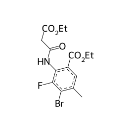 CCOC(=O)CC(=O)Nc1c(C(=O)OCC)cc(C)c(Br)c1F